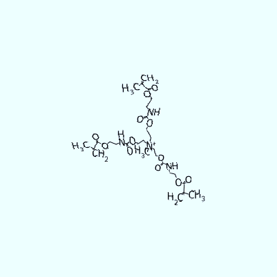 C=C(C)C(=O)OCCNC(=O)OCC[N+](C)(CCOC(=O)NCCOC(=O)C(=C)C)CCOC(=O)NCCOC(=O)C(=C)C